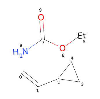 C=CC1CC1.CCOC(N)=O